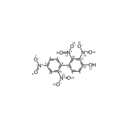 O=[N+]([O-])c1ccc(-c2ccc(O)c([N+](=O)[O-])c2[N+](=O)[O-])c([N+](=O)[O-])c1